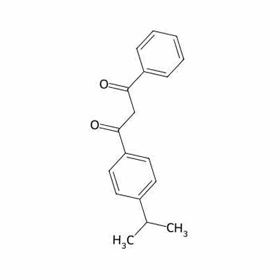 CC(C)c1ccc(C(=O)CC(=O)c2ccccc2)cc1